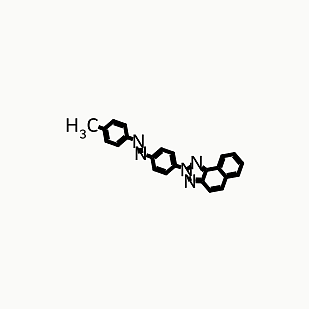 Cc1ccc(N=Nc2ccc(-n3nc4ccc5ccccc5c4n3)cc2)cc1